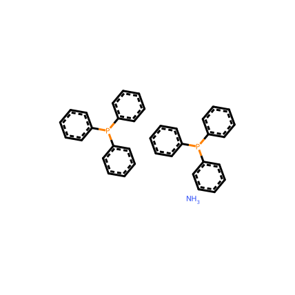 N.c1ccc(P(c2ccccc2)c2ccccc2)cc1.c1ccc(P(c2ccccc2)c2ccccc2)cc1